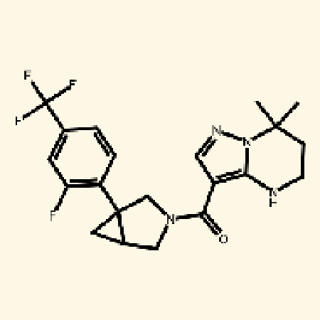 CC1(C)CCNc2c(C(=O)N3CC4CC4(c4ccc(C(F)(F)F)cc4F)C3)cnn21